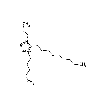 CCCCCCCCCc1n(CCC)cc[n+]1CCCCC